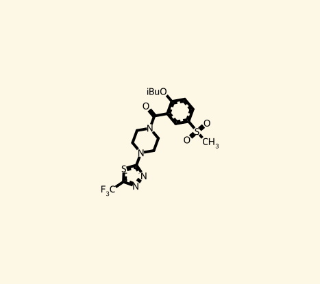 CC(C)COc1ccc(S(C)(=O)=O)cc1C(=O)N1CCN(c2nnc(C(F)(F)F)s2)CC1